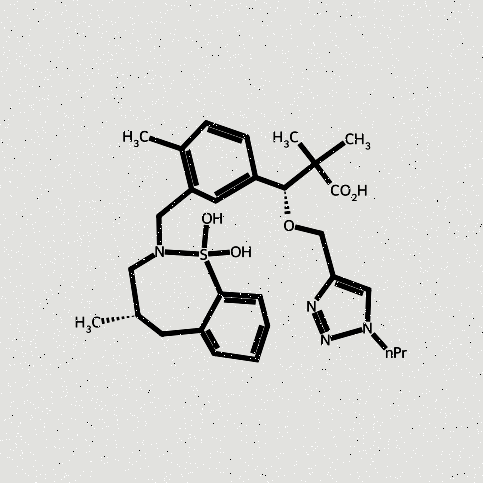 CCCn1cc(CO[C@H](c2ccc(C)c(CN3C[C@@H](C)Cc4ccccc4S3(O)O)c2)C(C)(C)C(=O)O)nn1